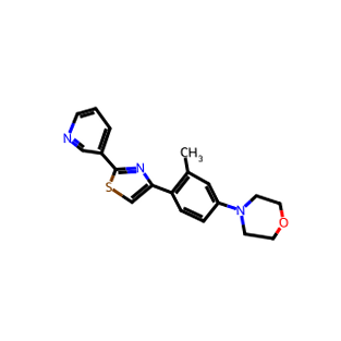 Cc1cc(N2CCOCC2)ccc1-c1csc(-c2cccnc2)n1